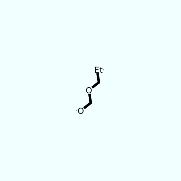 C[CH]COC[O]